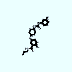 CCCNC(=O)c1cc(OC2CCC(NC(=O)Nc3cccc(C)c3)CC2)ccc1C